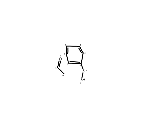 CC=O.SSc1ccccc1